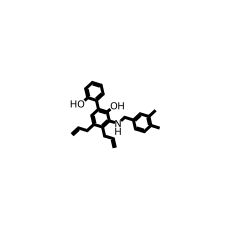 C=CCc1cc(-c2ccccc2O)c(O)c(NCc2ccc(C)c(C)c2)c1CC=C